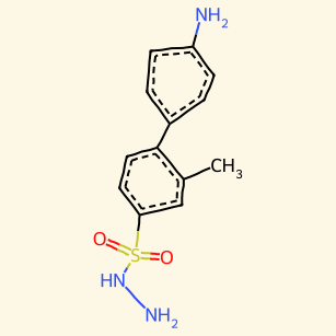 Cc1cc(S(=O)(=O)NN)ccc1-c1ccc(N)cc1